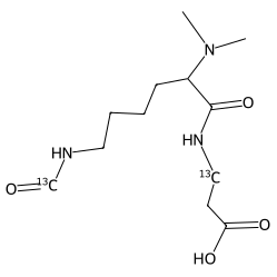 CN(C)C(CCCCN[13CH]=O)C(=O)N[13CH2]CC(=O)O